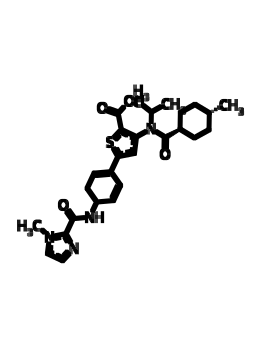 CC(C)N(c1cc(C2=CCC(NC(=O)c3nccn3C)C=C2)sc1C(=O)O)C(=O)[C@H]1CC[C@H](C)CC1